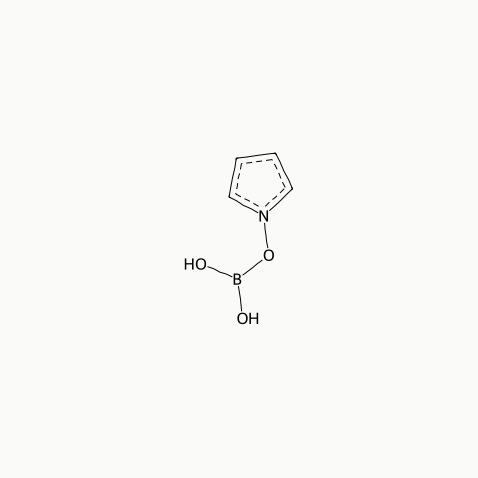 OB(O)On1cccc1